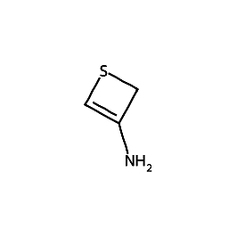 NC1=CSC1